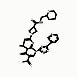 CC1C=C(N2CC(C(=O)NCC3CCCCO3)C2)N=C2C1C(=O)C(C(=O)O)=CN2c1nc(-c2cccnc2)ns1